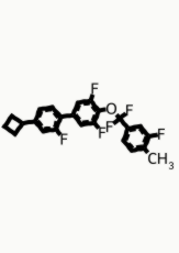 Cc1ccc(C(F)(F)Oc2c(F)cc(-c3ccc(C4CCC4)cc3F)cc2F)cc1F